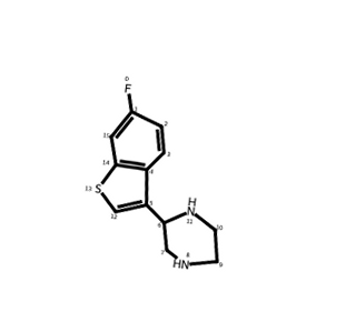 Fc1ccc2c(C3CNCCN3)csc2c1